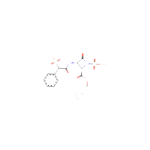 COC(=O)[C@H]1[C@@H](NC(=O)C(c2ccccc2)S(=O)(=O)O)C(=O)N1S(=O)(=O)O.[NaH].[NaH]